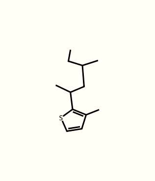 CCC(C)CC(C)c1sccc1C